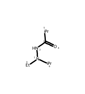 CCN(NC(=O)C(C)C)C(C)C